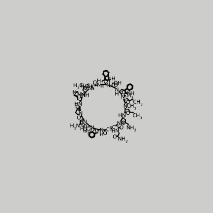 CCCC[C@H]1C(=O)N(C)[C@@H](CCCC)C(=O)N[C@@H](CCCN)C(=O)N[C@H](C(=O)NCC(N)=O)CSCC(=O)N[C@@H](Cc2ccccc2)C(=O)N(C)[C@@H](C)C(=O)N[C@@H](CC(N)=O)C(=O)N2CCC[C@H]2C(=O)N[C@@H](Cc2cnc[nH]2)C(=O)N[C@@H](CC(C)C)C(=O)N(C)CC(=O)N[C@@H](Cc2c[nH]c3ccccc23)C(=O)N[C@@H](CO)C(=O)N[C@@H](Cc2c[nH]c3ccccc23)C(=O)N1C